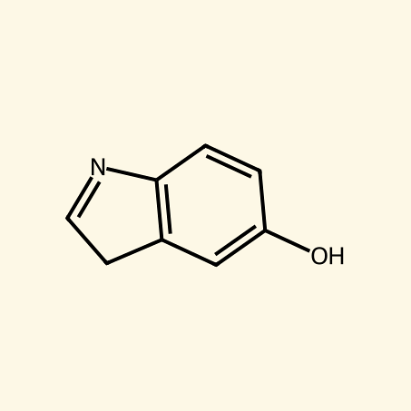 Oc1ccc2c(c1)CC=N2